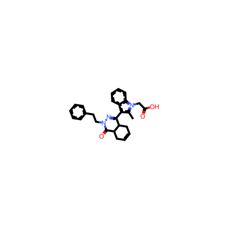 Cc1c(C2=NN(CCc3ccccc3)C(=O)C3CC=CCC23)c2ccccc2n1CC(=O)O